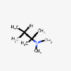 CCC(C)(C)C(C)(C)N(C)C